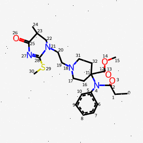 CCC(=O)N(c1ccccc1)C1(C(=O)OC)CCN(CCN2CC(C)C(=O)N=C2SC)CC1